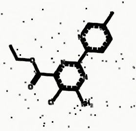 CCOC(=O)c1nc(-c2ccc(C)cn2)nc(N)c1Cl